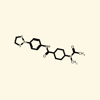 CC(=O)N(C)C1CCC(C(=O)Nc2ccc([As]3SCCS3)cc2)CC1